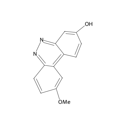 COc1ccc2nnc3cc(O)ccc3c2c1